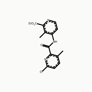 CCOC(=O)c1nccc(NC(=O)c2nc(Cl)ccc2C)c1C